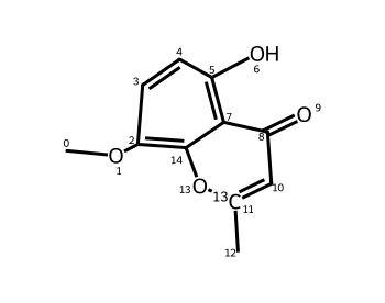 COc1ccc(O)c2c(=O)c[13c](C)oc12